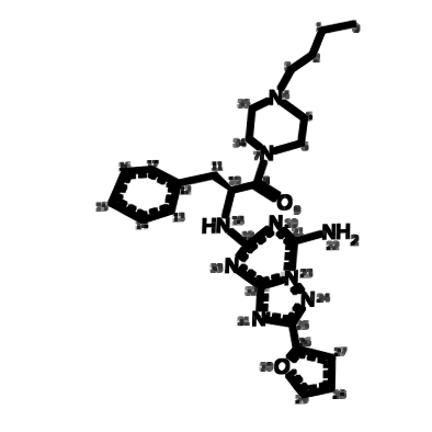 CCCCN1CCN(C(=O)[C@H](Cc2ccccc2)Nc2nc(N)n3nc(-c4ccco4)nc3n2)CC1